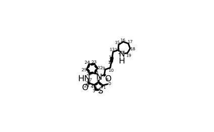 Cc1scc2c1N(C(=O)CCC#CCC1CCCCCN1)c1ccccc1NC2=O